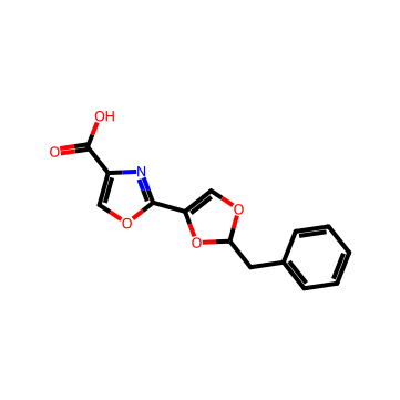 O=C(O)c1coc(C2=COC(Cc3ccccc3)O2)n1